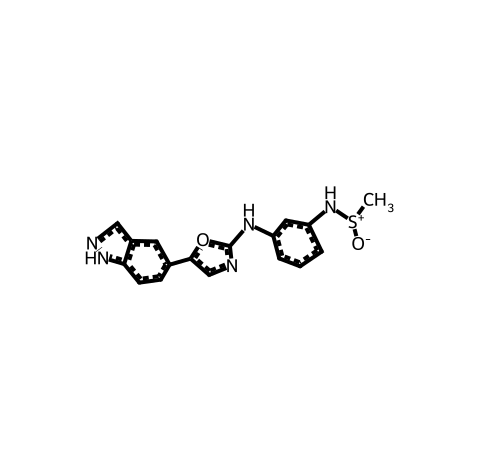 C[S+]([O-])Nc1cccc(Nc2ncc(-c3ccc4[nH]ncc4c3)o2)c1